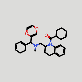 CN(CC1CCc2ccccc2N1C(=O)C1CCCCC1)C(C1=CC=CCC1)C1=COC=CO1